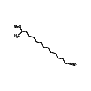 [C]#CCCCCCCCCCCCCC(C)OC